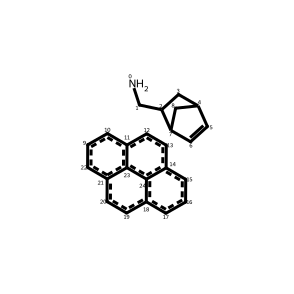 NCC1CC2C=CC1C2.c1cc2ccc3cccc4ccc(c1)c2c34